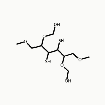 COCC(OCO)C(S)C(S)C(COC)OCO